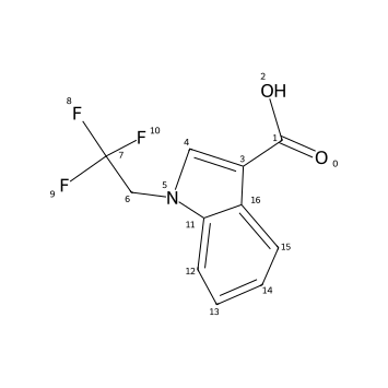 O=C(O)c1cn(CC(F)(F)F)c2ccccc12